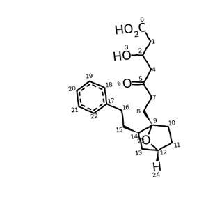 O=C(O)CC(O)CC(=O)CC[C@]12CC[C@H](C[C@H]1CCc1ccccc1)O2